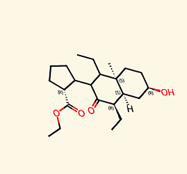 CCOC(=O)[C@@H]1CCCC1C1C(=O)[C@H](CC)[C@@H]2C[C@H](O)CC[C@]2(C)C1CC